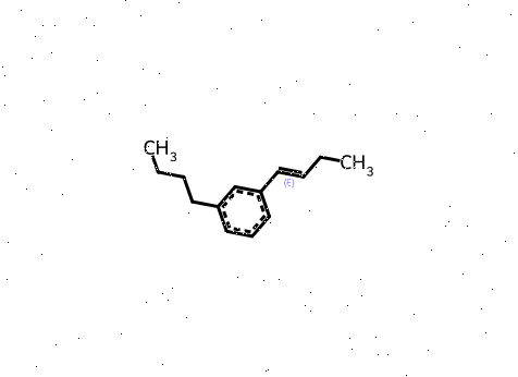 CC/C=C/c1cccc(CCCC)c1